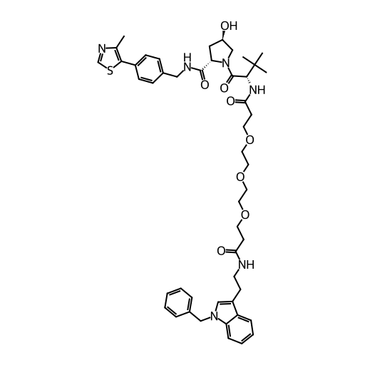 Cc1ncsc1-c1ccc(CNC(=O)[C@@H]2C[C@@H](O)CN2C(=O)[C@@H](NC(=O)CCOCCOCCOCCC(=O)NCCc2cn(Cc3ccccc3)c3ccccc23)C(C)(C)C)cc1